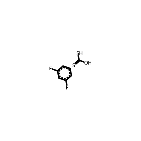 Fc1cccc(F)c1.OC(=S)S